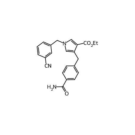 CCOC(=O)c1cn(Cc2cccc(C#N)c2)cc1Cc1ccc(C(N)=O)cc1